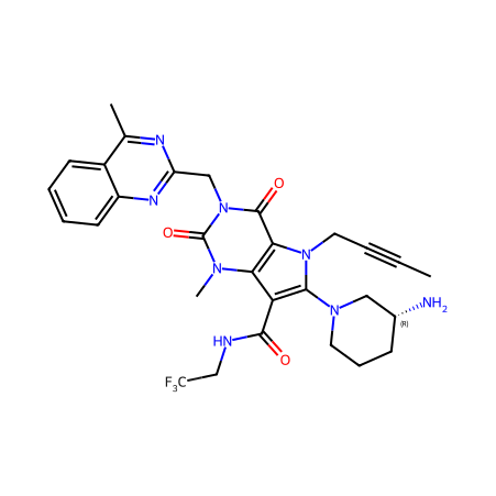 CC#CCn1c(N2CCC[C@@H](N)C2)c(C(=O)NCC(F)(F)F)c2c1c(=O)n(Cc1nc(C)c3ccccc3n1)c(=O)n2C